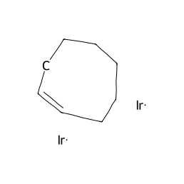 C1=C\CCCCCC/1.[Ir].[Ir]